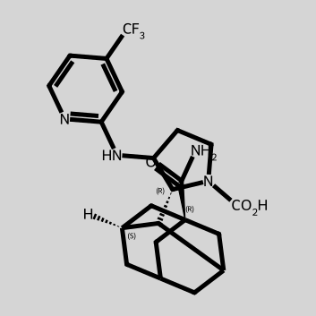 NC(=O)[C@]12CC3CC(C1)C([C@@H]1C(Nc4cc(C(F)(F)F)ccn4)CCN1C(=O)O)[C@@H](C3)C2